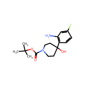 CC(C)(C)OC(=O)N1CCC(O)(c2ccc(F)cc2N)CC1